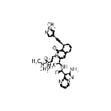 CC(NC(=O)c1c(N)nn2cccnc12)c1cc2cccc(C#Cc3cnn(C)c3)c2c(=O)n1/C=C/S(=O)(=O)N(C)C